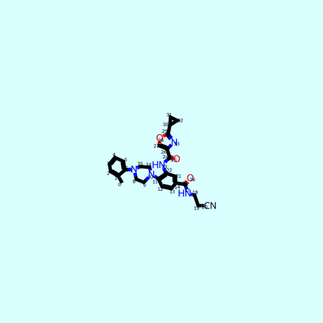 Cc1ccccc1N1CCN(c2ccc(C(=O)NCCC#N)cc2NC(=O)c2coc(C3CC3)n2)CC1